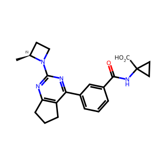 C[C@H]1CCN1c1nc2c(c(-c3cccc(C(=O)NC4(C(=O)O)CC4)c3)n1)CCC2